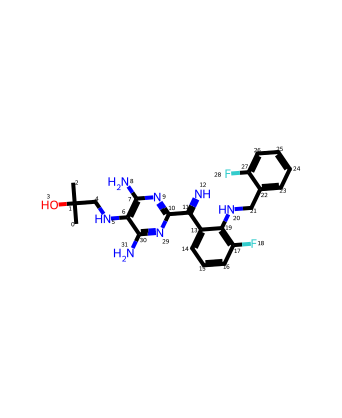 CC(C)(O)CNc1c(N)nc(C(=N)c2cccc(F)c2NCc2ccccc2F)nc1N